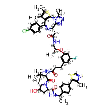 Cc1ncsc1-c1ccc([C@H](C)NC(=O)[C@@H]2C[C@@H](O)CN2C(=O)[C@@H](NC(=O)CCc2cc(F)cc(O[C@@H](C)CNC(=O)C[C@@H]3N=C(c4ccc(Cl)cc4)c4c(sc(C)c4C)-n4c(C)nnc43)c2)C(C)(C)C)cc1